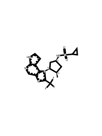 C[C@@H]1C[C@H](NS(=O)(=O)C2CC2)C[C@@H]1n1c(C(F)(F)F)nc2cnc3[nH]ccc3c21